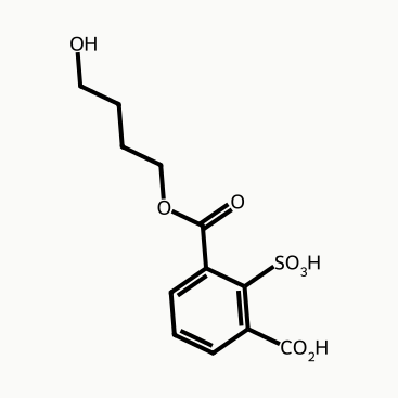 O=C(O)c1cccc(C(=O)OCCCCO)c1S(=O)(=O)O